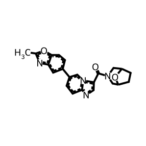 Cc1nc2cc(-c3ccc4ncc(C(=O)N5CC6CCC(C5)O6)n4c3)ccc2o1